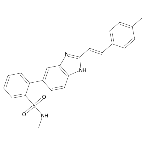 CNS(=O)(=O)c1ccccc1-c1ccc2[nH]c(/C=C/c3ccc(C)cc3)nc2c1